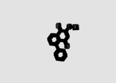 CCOC1=CC(=O)c2c(cccc2-c2ccccc2)C1=O